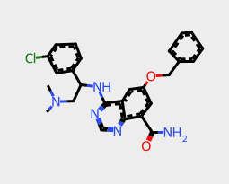 CN(C)CC(Nc1ncnc2c(C(N)=O)cc(OCc3ccccc3)cc12)c1cccc(Cl)c1